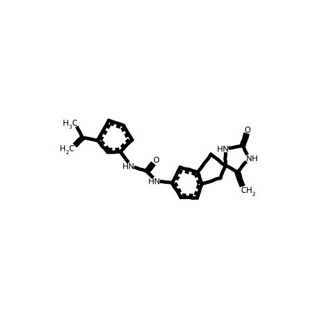 C=C(C)c1cccc(NC(=O)Nc2ccc3c(c2)CC2(C3)NC(=O)NC2=C)c1